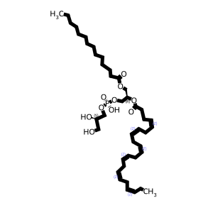 CC/C=C\C/C=C\C/C=C\C/C=C\C/C=C\C/C=C\CCC(=O)O[C@H](COC(=O)CCCCCCCCCCCCC)COP(=O)(O)OC[C@@H](O)CO